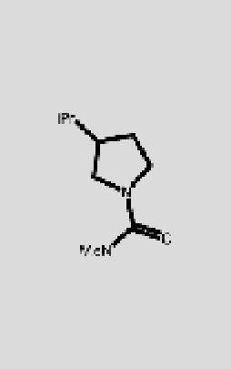 CNC(=O)N1CCC(C(C)C)C1